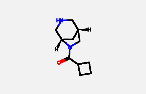 O=C(C1CCC1)N1C[C@H]2CNC[C@@H]1C2